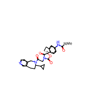 CNC(=O)Nc1ccc2c(c1)CC[C@@]21OC(=O)N(CC(=O)N2Cc3ccncc3CCC2C2CC2)C1=O